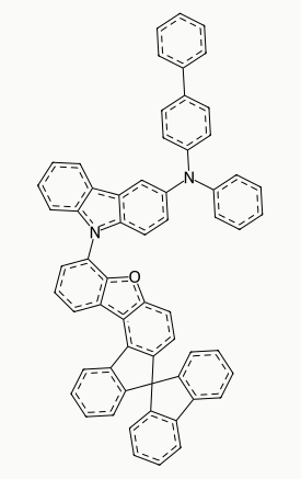 c1ccc(-c2ccc(N(c3ccccc3)c3ccc4c(c3)c3ccccc3n4-c3cccc4c3oc3ccc5c(c34)-c3ccccc3C53c4ccccc4-c4ccccc43)cc2)cc1